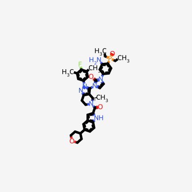 CCP(=O)(CC)c1ccc(-n2ccn(-c3c4c(nn3-c3cc(C)c(F)c(C)c3)CCN(C(=O)c3cc5cc(C6CCOCC6)ccc5[nH]3)[C@H]4C)c2=O)cc1N